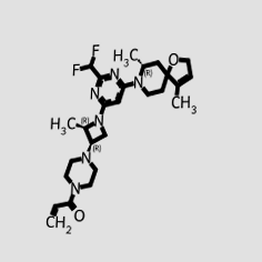 C=CC(=O)N1CCN([C@@H]2CN(c3cc(N4CCC5(C[C@H]4C)OCC=C5C)nc(C(F)F)n3)[C@@H]2C)CC1